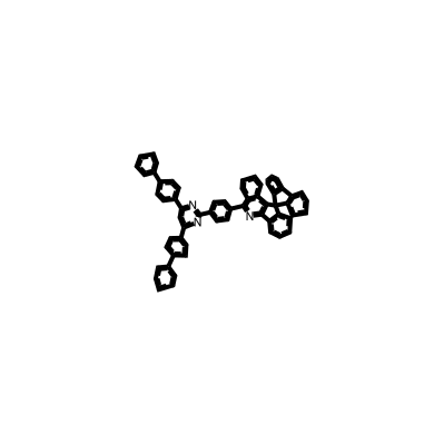 c1ccc(-c2ccc(-c3cc(-c4ccc(-c5ccccc5)cc4)nc(-c4ccc(-c5nc6c(c7ccccc57)C5(c7ccccc7-c7ccccc75)c5ccccc5-6)cc4)n3)cc2)cc1